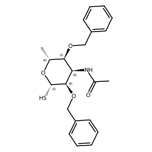 CC(=O)N[C@H]1[C@@H](OCc2ccccc2)[C@H](S)O[C@H](C)[C@H]1OCc1ccccc1